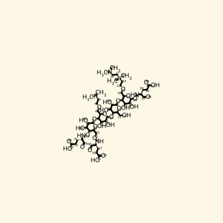 CN(C)CCOCC1OC(OC2C(CO)OC(OC3C(COCC[N+](C)(C)CCN(C)C)OC(ON[C@H](C=O)CCC(=O)O)C(O)C3O)C(O)C2O)C(O)C(O)C1OC1OC(CON[C@H](C=O)CCC(=O)O)C(ON[C@H](C=O)CCC(=O)O)C(O)C1O